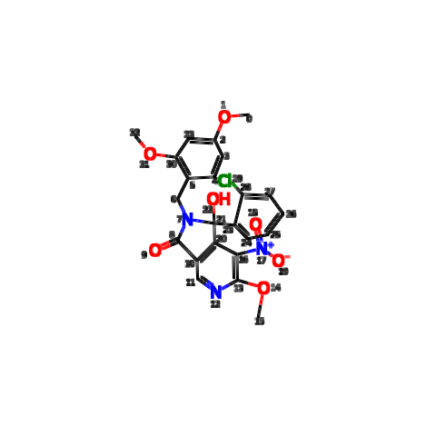 COc1ccc(CN2C(=O)c3cnc(OC)c([N+](=O)[O-])c3C2(O)c2ccccc2Cl)c(OC)c1